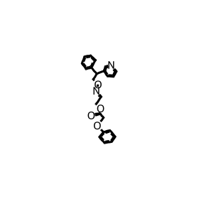 O=C(COc1ccccc1)OCC=NOCC(c1ccccc1)c1cccnc1